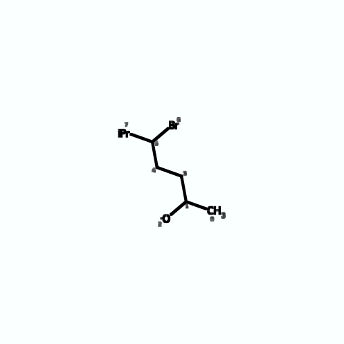 CC([O])CCC(Br)C(C)C